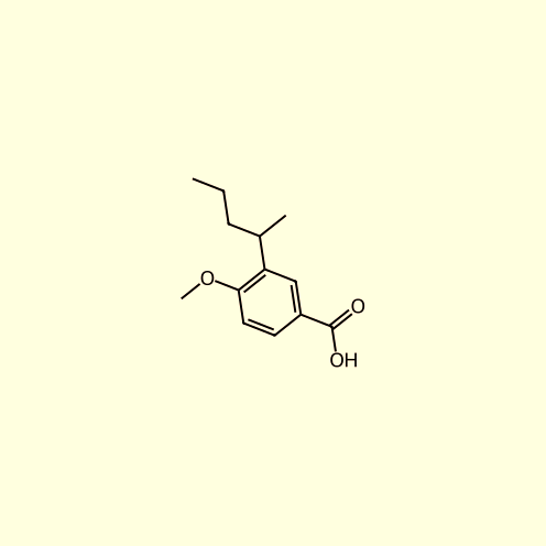 CCCC(C)c1cc(C(=O)O)ccc1OC